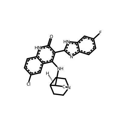 O=c1[nH]c2ccc(Cl)cc2c(N[C@H]2CN3CCC2CC3)c1-c1nc2ccc(F)cc2[nH]1